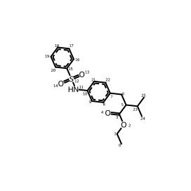 CCOC(=O)C(Cc1ccc(NS(=O)(=O)c2ccccc2)cc1)C(C)C